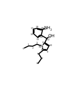 CCCCn1c(CCC)ccc1C(O)c1ccccc1N